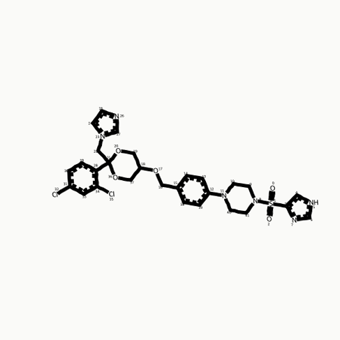 O=S(=O)(c1c[nH]cn1)N1CCN(c2ccc(COC3COC(Cn4ccnc4)(c4ccc(Cl)cc4Cl)OC3)cc2)CC1